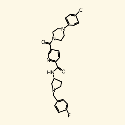 O=C(N[C@H]1CCN(Cc2ccc(F)cc2)C1)c1ccc(C(=O)N2CCN(c3ccc(Cl)cc3)CC2)cn1